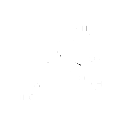 C=C1CN2C[C@@H](COC)C[C@@]2(C(=O)OC)C1